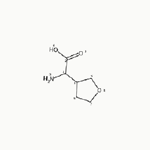 NC(C(=O)O)C1CCOC1